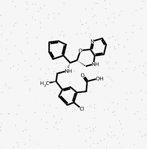 C[C@@H](CN[C@H](c1ccccc1)[C@H]1CNc2cccnc2O1)c1ccc(Cl)c(CC(=O)O)c1